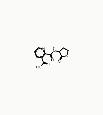 O=C(O)c1cccnc1C(=O)NC1CCSC1=O